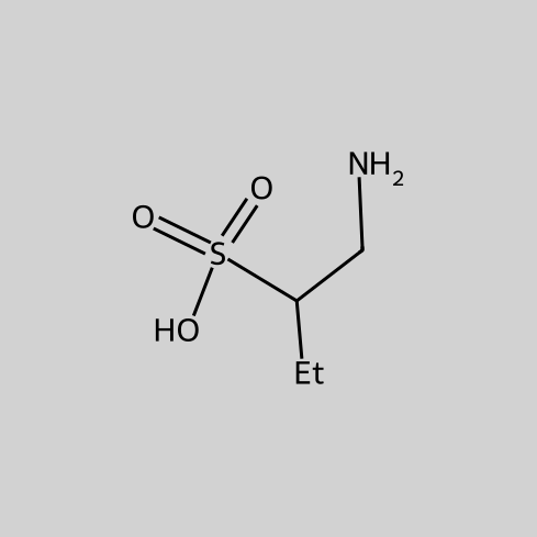 CCC(CN)S(=O)(=O)O